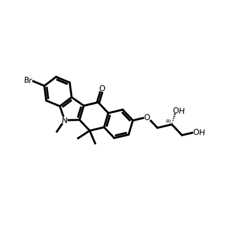 Cn1c2c(c3ccc(Br)cc31)C(=O)c1cc(OC[C@H](O)CO)ccc1C2(C)C